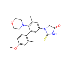 COc1ccc(-c2cc(N3CC(=O)NC3=S)cc(C)c2N2CCOCC2)c(C)c1